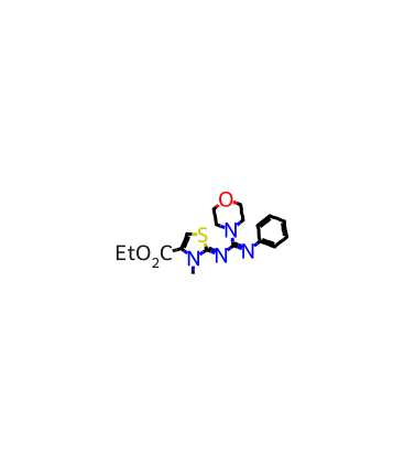 CCOC(=O)c1csc(=NC(=Nc2ccccc2)N2CCOCC2)n1C